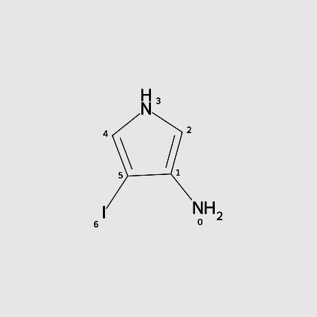 Nc1c[nH]cc1I